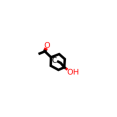 CC(=O)C12CCC(O)(CC1)CC2